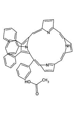 C1=Cc2cc3c(-c4ccccc4)c(-c4ccccc4)c(c(-c4ccccc4)c4nc(cc5ccc(cc1n2)[nH]5)C=C4)n3-c1ccccc1.CC(=O)O